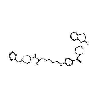 O=C(CCCCCOc1ccc(C(=O)N2CCC(N3C(=O)CCc4ccccc43)CC2)cc1)NC1CCN(Cc2ccccc2)CC1